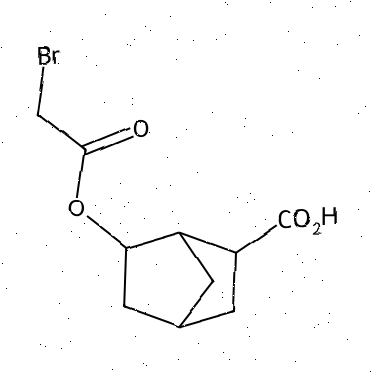 O=C(CBr)OC1CC2CC(C(=O)O)C1C2